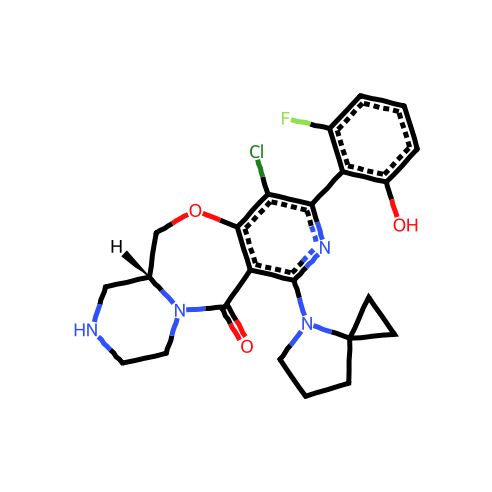 O=C1c2c(N3CCCC34CC4)nc(-c3c(O)cccc3F)c(Cl)c2OC[C@H]2CNCCN12